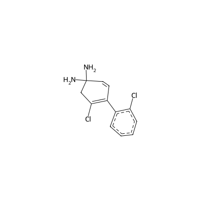 NC1(N)C=CC(c2ccccc2Cl)=C(Cl)C1